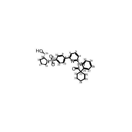 O=C(Nc1cccc(-c2ccc(S(=O)(=O)N3CCC[C@@H]3CO)cc2)n1)C1(c2ccccc2)CCCCC1